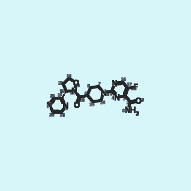 NC(=O)c1nc(N2CCC(C(=O)N3OCC[C@H]3c3cnccn3)CC2)ncc1F